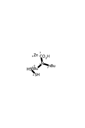 CCCCN(CCCC)C(=O)O.SS.[Zn]